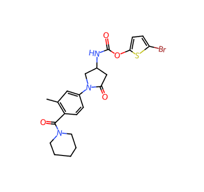 Cc1cc(N2CC(NC(=O)Oc3ccc(Br)s3)CC2=O)ccc1C(=O)N1CCCCC1